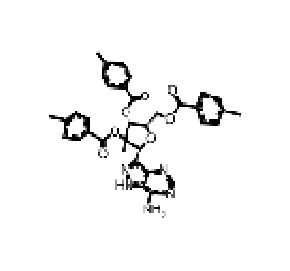 Cc1ccc(C(=O)OC[C@H]2O[C@@H](c3n[nH]c4c(N)ncnc34)[C@](C)(OC(=O)c3ccc(C)cc3)[C@@H]2OC(=O)c2ccc(C)cc2)cc1